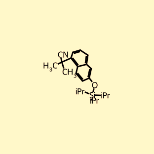 CC(C)[Si](Oc1ccc2c(C(C)(C)C#N)cccc2c1)(C(C)C)C(C)C